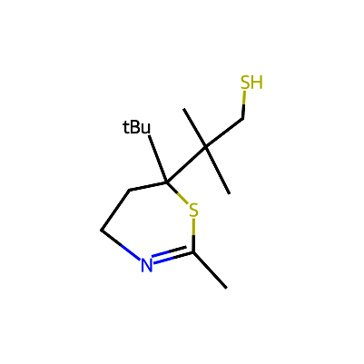 CC1=NCCC(C(C)(C)C)(C(C)(C)CS)S1